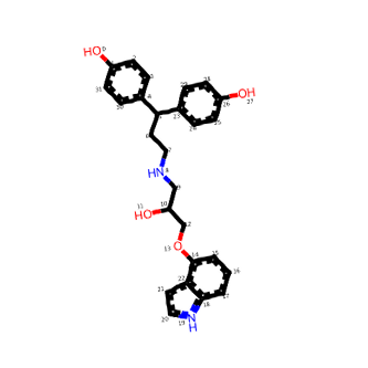 Oc1ccc(C(CCNCC(O)COc2cccc3[nH]ccc23)c2ccc(O)cc2)cc1